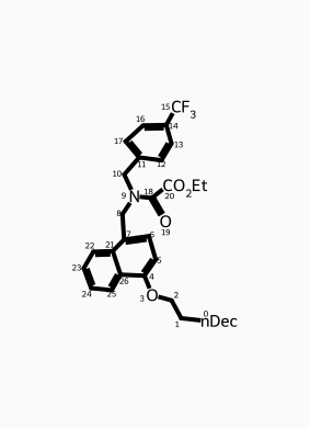 CCCCCCCCCCCCOc1ccc(CN(Cc2ccc(C(F)(F)F)cc2)C(=O)C(=O)OCC)c2ccccc12